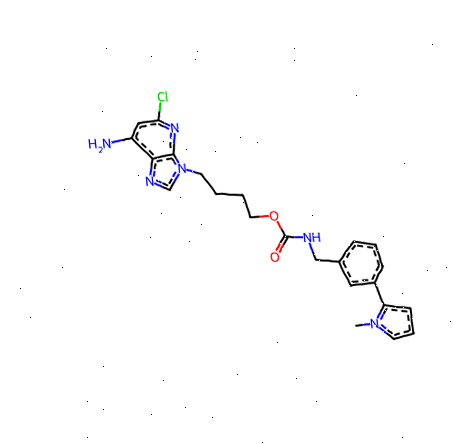 Cn1cccc1-c1cccc(CNC(=O)OCCCCn2cnc3c(N)cc(Cl)nc32)c1